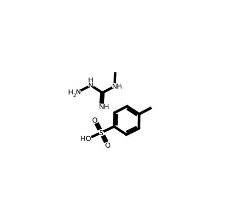 CNC(=N)NN.Cc1ccc(S(=O)(=O)O)cc1